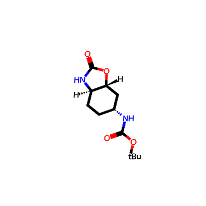 CC(C)(C)OC(=O)N[C@@H]1CC[C@H]2NC(=O)O[C@@H]2C1